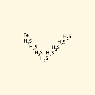 S.S.S.S.S.S.S.S.[Fe]